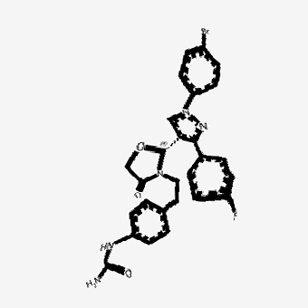 NC(=O)Nc1ccc(CCN2C(=O)CO[C@@H]2c2cn(-c3ccc(Br)cc3)nc2-c2ccc(F)cc2)cc1